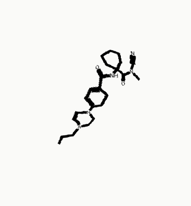 CCCN1CCN(c2ccc(C(=O)NC3(C(=O)N(C)C#N)CCCCC3)cc2)CC1